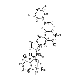 Cc1cc(N2CCC(N(C)C(=O)c3ccc4c(c3)C(N(C)S(=O)(=O)c3c(Cl)cccc3C(F)(F)F)CC4)CC2)cc(C)n1